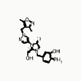 Cc1noc(C)c1Cn1cc(N2C(=O)CN(Cc3ccc(P)c(O)c3)/C2=C\O)cn1